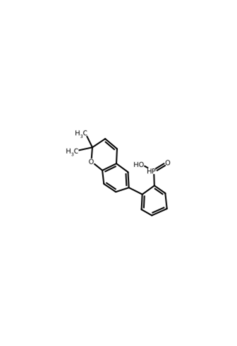 CC1(C)C=Cc2cc(-c3ccccc3[PH](=O)O)ccc2O1